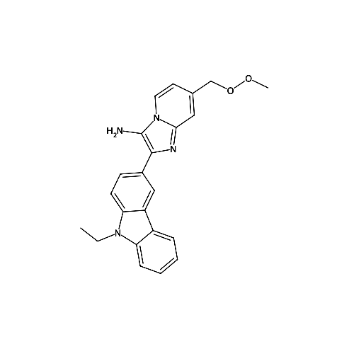 CCn1c2ccccc2c2cc(-c3nc4cc(COOC)ccn4c3N)ccc21